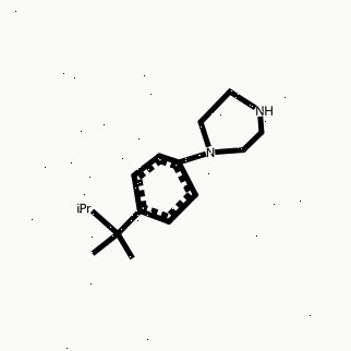 CC(C)C(C)(C)c1ccc(N2CCNCC2)cc1